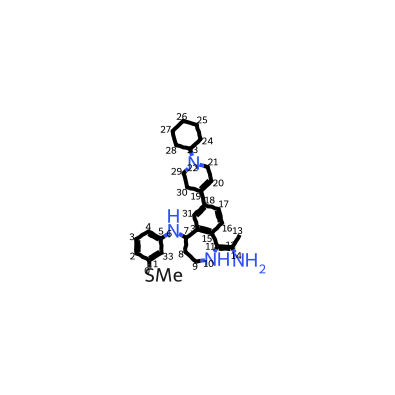 CSc1cccc(NC2CCN/C(=C(/C)N)c3ccc(C4=CCN(C5CCCCC5)CC4)cc32)c1